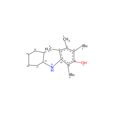 Cc1c(C)c(C(C)(C)C)c(O)c(C(C)(C)C)c1NC1CCCCC1